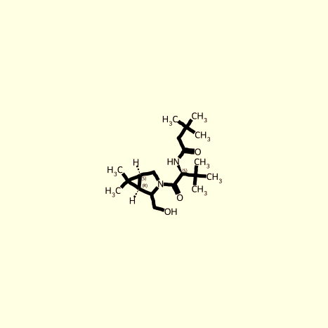 CC(C)(C)CC(=O)N[C@H](C(=O)N1C[C@H]2[C@@H](C1CO)C2(C)C)C(C)(C)C